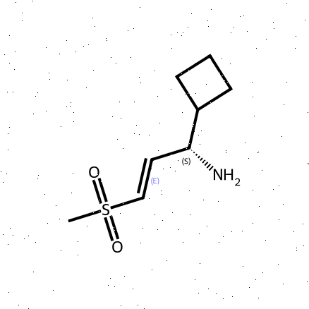 CS(=O)(=O)/C=C/[C@@H](N)C1CCC1